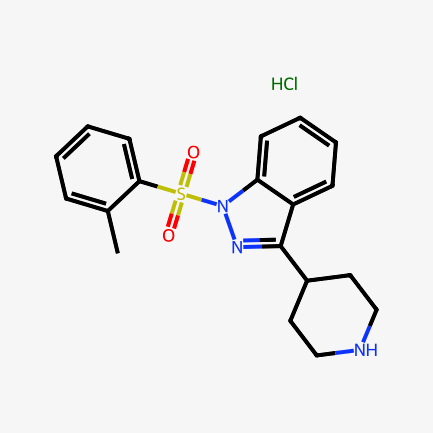 Cc1ccccc1S(=O)(=O)n1nc(C2CCNCC2)c2ccccc21.Cl